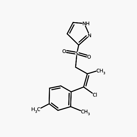 CC(CS(=O)(=O)c1cc[nH]n1)=C(Cl)c1ccc(C)cc1C